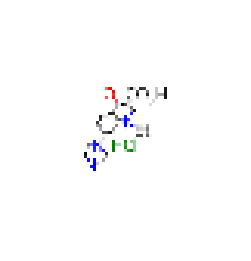 CCn1cc(C(=O)O)c(=O)c2ccc(N3CCN(C)CC3)cc21.Cl